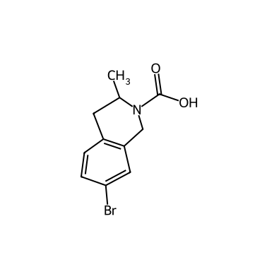 CC1Cc2ccc(Br)cc2CN1C(=O)O